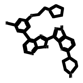 Fc1cc(OCCN2CCCC2)cc(-c2ccnc3[nH]c(-c4n[nH]c5ccc(C6CCNCC6)nc45)nc23)c1